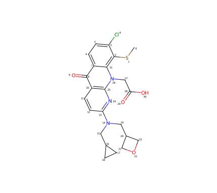 CSc1c(Cl)ccc2c(=O)c3ccc(N(CC4CC4)CC4COC4)nc3n(CC(=O)O)c12